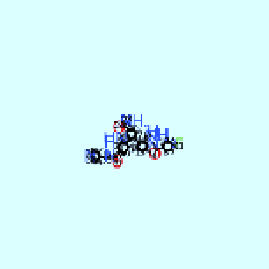 NCc1c(NC(=O)c2ccc(F)cc2)cccc1-c1ccc(C(N)=O)c2[nH]c3cc(C(=O)NCc4ccncc4)ccc3c12